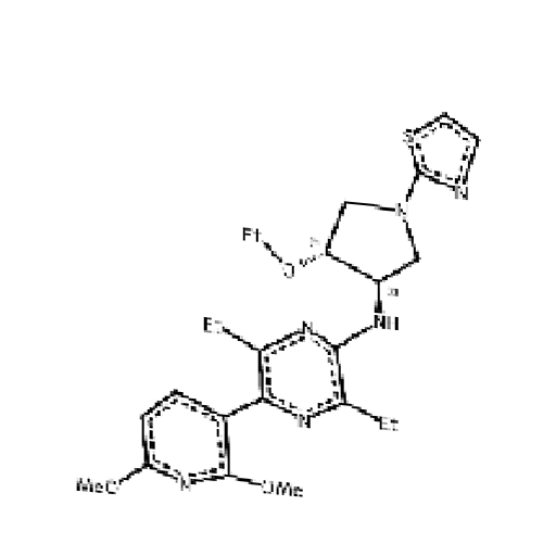 CCO[C@@H]1CN(c2nccs2)C[C@H]1Nc1nc(CC)c(-c2ccc(OC)nc2OC)nc1CC